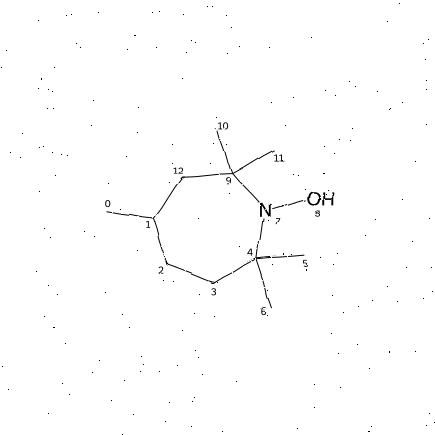 CC1CCC(C)(C)N(O)C(C)(C)C1